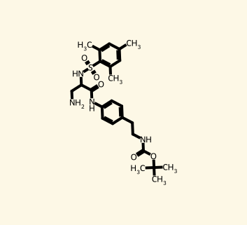 Cc1cc(C)c(S(=O)(=O)NC(CN)C(=O)Nc2ccc(CCNC(=O)OC(C)(C)C)cc2)c(C)c1